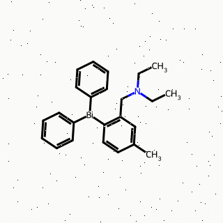 CCN(CC)Cc1cc(C)cc[c]1[Bi]([c]1ccccc1)[c]1ccccc1